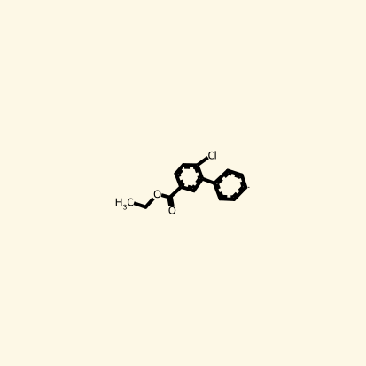 CCOC(=O)c1ccc(Cl)c(-c2cc[c]cc2)c1